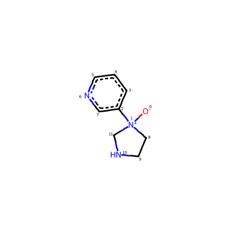 [O-][N+]1(c2cccnc2)CCNC1